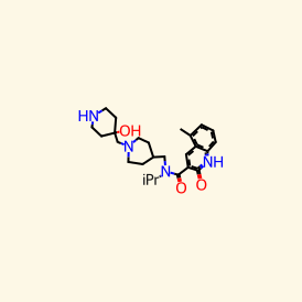 Cc1cccc2[nH]c(=O)c(C(=O)N(CC3CCN(CC4(O)CCNCC4)CC3)C(C)C)cc12